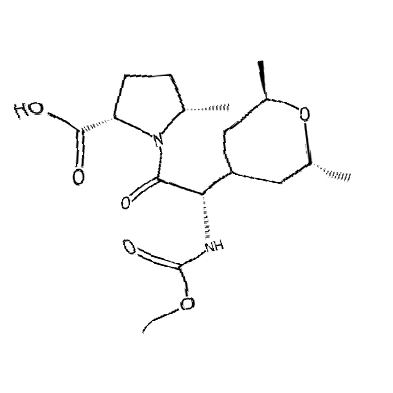 COC(=O)N[C@H](C(=O)N1[C@@H](C)CC[C@H]1C(=O)O)C1C[C@@H](C)O[C@H](C)C1